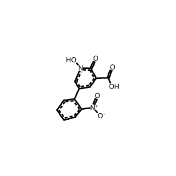 O=C(O)c1cc(-c2ccccc2[N+](=O)[O-])cn(O)c1=O